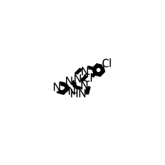 Clc1ccc(Cl)c(CN2CCN(c3nc4cnccc4nc3-c3ncc[nH]3)CC2)c1